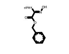 CCCCCCC(=NO)C(=O)OCc1ccccc1